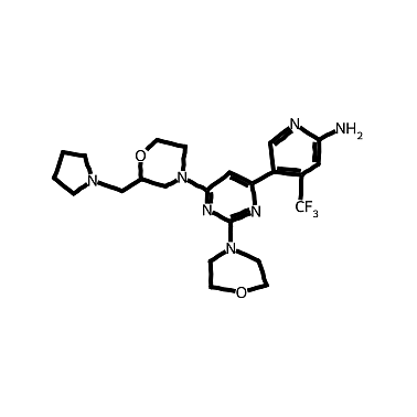 Nc1cc(C(F)(F)F)c(-c2cc(N3CCOC(CN4CCCC4)C3)nc(N3CCOCC3)n2)cn1